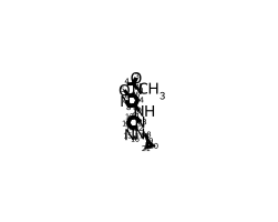 CN1C(=O)COc2ncc(Nc3ccc4ncn(CC5CC5)c4n3)cc21